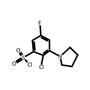 O=S(=O)(Cl)c1cc(F)cc(N2CCCC2)c1Cl